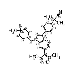 Cc1noc(C)c1-c1cnc2c(-c3ccc(C(C)(C)C#N)cc3)cn(CC3CCC(C)(F)CC3)c2c1